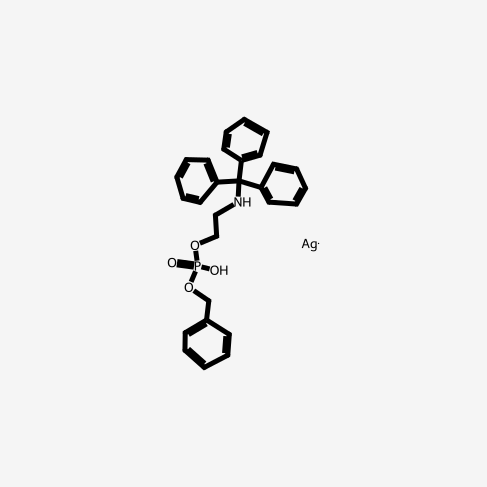 O=P(O)(OCCNC(c1ccccc1)(c1ccccc1)c1ccccc1)OCc1ccccc1.[Ag]